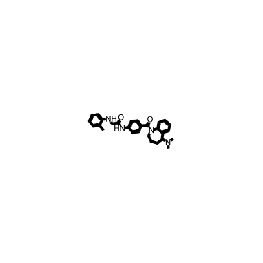 Cc1ccccc1NCC(=O)Nc1ccc(C(=O)N2CCCC(N(C)C)c3ccccc32)cc1